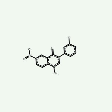 Cn1cc(-c2cccc(Cl)c2)c(=O)c2cc([N+](=O)[O-])ccc21